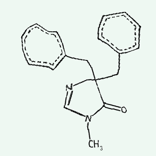 CN1C=NC(Cc2ccccc2)(Cc2ccccc2)C1=O